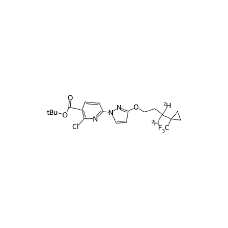 [2H]C([2H])(CCOc1ccn(-c2ccc(C(=O)OC(C)(C)C)c(Cl)n2)n1)C1(C(F)(F)F)CC1